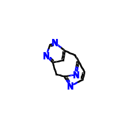 c1nc2cc(n1)Cc1nccc(n1)C2